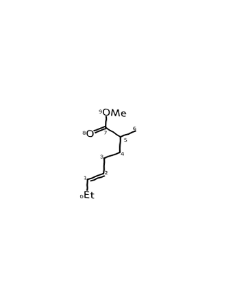 CCC=CCCC(C)C(=O)OC